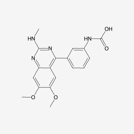 CNc1nc(-c2cccc(NC(=O)O)c2)c2cc(OC)c(OC)cc2n1